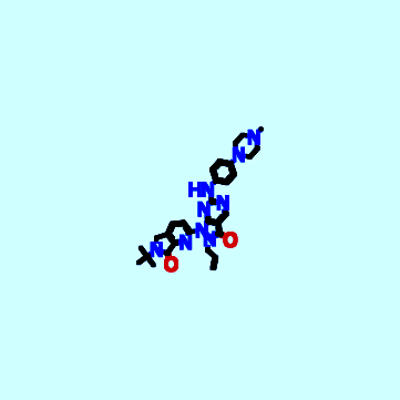 C=CCn1c(=O)c2cnc(Nc3ccc(N4CCN(C)CC4)cc3)nc2n1-c1ccc2c(n1)C(=O)N(C(C)(C)C)C2